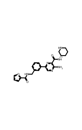 Nc1ncc(-c2cccc(CNC(=O)c3ccco3)c2)nc1C(=O)N[C@H]1CCCNC1